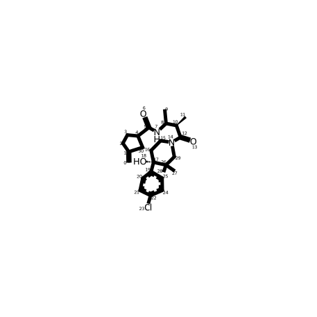 C=C1CCC(C(=O)NC(C)[C@@H](C)C(=O)N2CC[C@](O)(c3ccc(Cl)cc3)C(C)(C)C2)C1